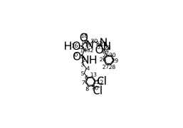 O=C(NCCCc1ccc(Cl)c(Cl)c1)C1=C(O)C(=O)N(Cc2nnc(-c3ccccc3)o2)C1